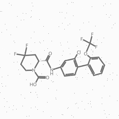 O=C(Nc1ccc(-c2ccccc2OC(F)(F)F)c(Cl)c1)[C@H]1CC(F)(F)CCN1C(=O)O